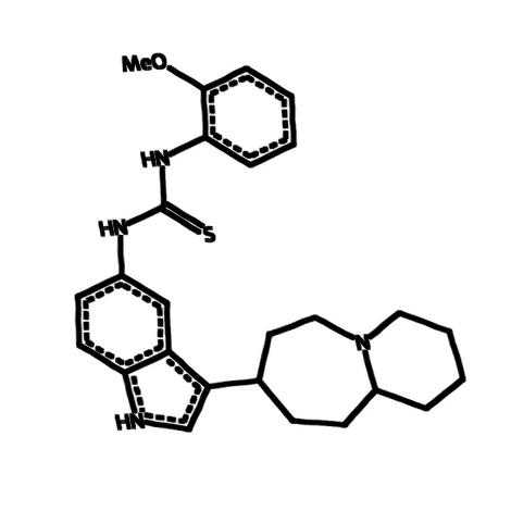 COc1ccccc1NC(=S)Nc1ccc2[nH]cc(C3CCC4CCCCN4CC3)c2c1